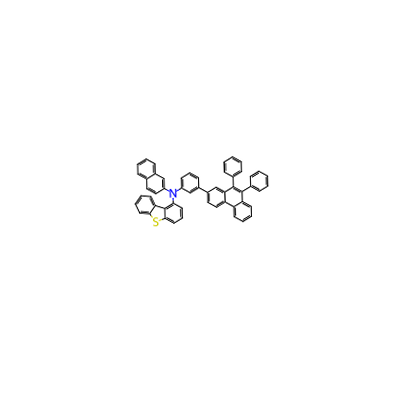 c1ccc(-c2c(-c3ccccc3)c3cc(-c4cccc(N(c5ccc6ccccc6c5)c5cccc6sc7ccccc7c56)c4)ccc3c3ccccc23)cc1